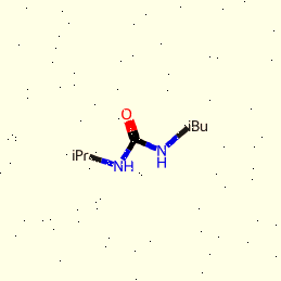 CCC(C)NC(=O)NC(C)C